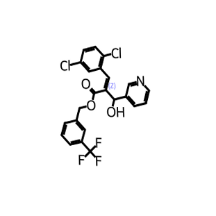 O=C(OCc1cccc(C(F)(F)F)c1)/C(=C\c1cc(Cl)ccc1Cl)C(O)c1cccnc1